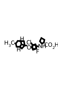 CC1C[C@@H]2CC3(COc4cc(F)c(NC5CCCC5C(=O)O)cc4Cl)C[C@H](C1)C23